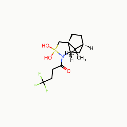 CC1(C)[C@H]2CC[C@@]13CS(O)(O)N(C(=O)CCC(F)(F)F)[C@H]3C2